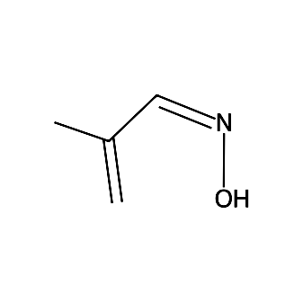 C=C(C)/C=N\O